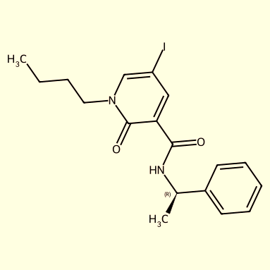 CCCCn1cc(I)cc(C(=O)N[C@H](C)c2ccccc2)c1=O